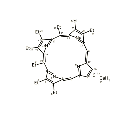 CCC1=C(CC)C2=NC1=CC1=NC(=CC3=NC(=C(CC)C4=NC(=C2CC)C(CC)=C4CC)C(CC)=C3CC)C=C1.Cl.[GaH3]